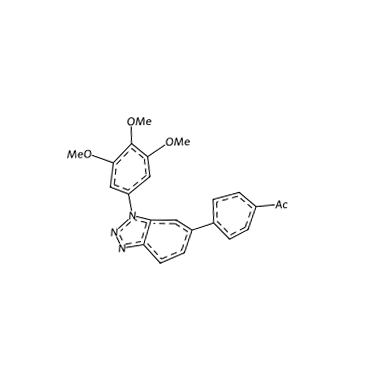 COc1cc(-n2nnc3ccc(-c4ccc(C(C)=O)cc4)cc32)cc(OC)c1OC